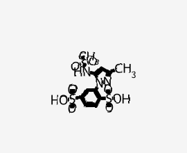 Cc1cc(NS(C)(=O)=O)n(-c2cc(S(=O)(=O)O)ccc2S(=O)(=O)O)n1